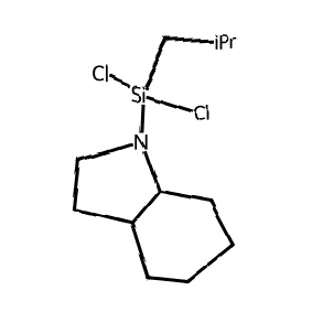 CC(C)C[Si](Cl)(Cl)N1CCC2CCCCC21